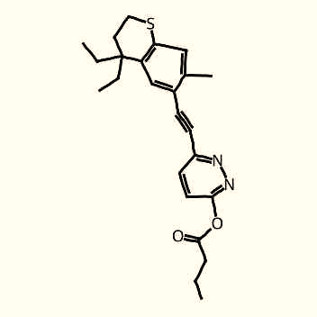 CCCC(=O)Oc1ccc(C#Cc2cc3c(cc2C)SCCC3(CC)CC)nn1